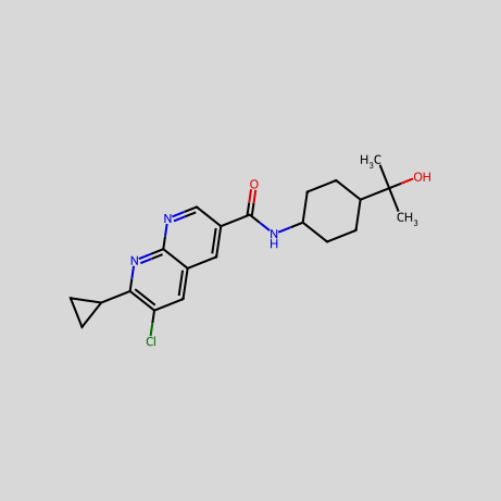 CC(C)(O)C1CCC(NC(=O)c2cnc3nc(C4CC4)c(Cl)cc3c2)CC1